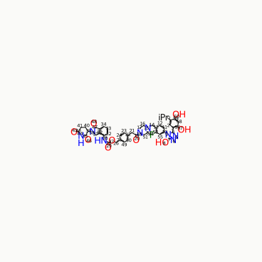 CC(C)c1cc(-c2nnc(O)n2-c2ccc(CN3CCN(C(=O)Cc4ccc(COC(=O)Nc5cccc6c5CN(C5CCC(=O)NC5=O)C6=O)cc4)CC3)c(F)c2)c(O)cc1O